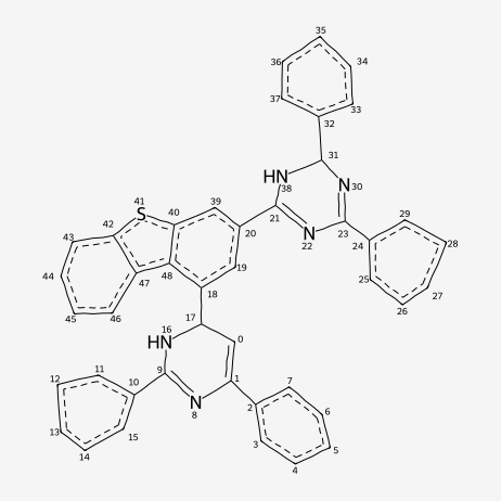 C1=C(c2ccccc2)N=C(c2ccccc2)NC1c1cc(C2=NC(c3ccccc3)=NC(c3ccccc3)N2)cc2sc3ccccc3c12